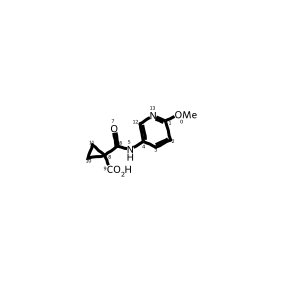 COc1ccc(NC(=O)C2(C(=O)O)CC2)cn1